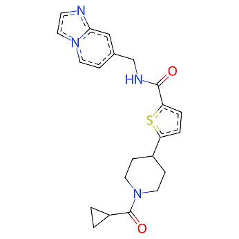 O=C(NCc1ccn2ccnc2c1)c1ccc(C2CCN(C(=O)C3CC3)CC2)s1